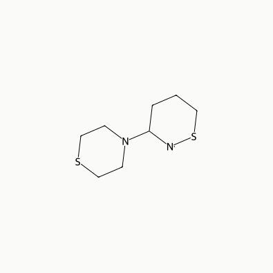 C1CS[N]C(N2CCSCC2)C1